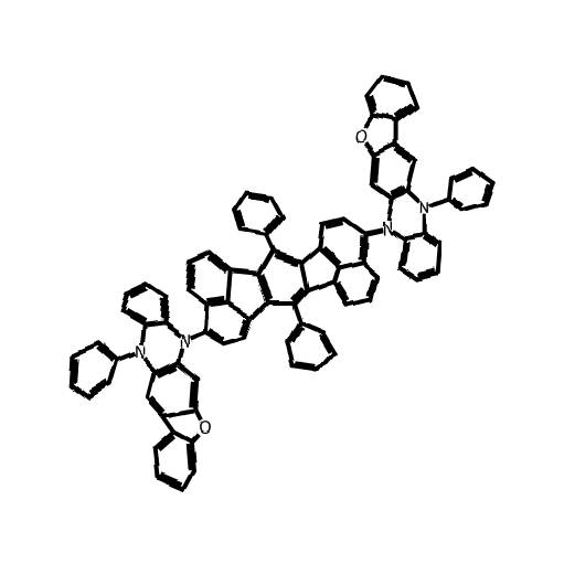 c1ccc(-c2c3c4cccc5c(N6c7ccccc7N(c7ccccc7)c7cc8c(cc76)oc6ccccc68)ccc(c3c(-c3ccccc3)c3c6cccc7c(N8c9ccccc9N(c9ccccc9)c9cc%10c(cc98)oc8ccccc8%10)ccc(c23)c76)c54)cc1